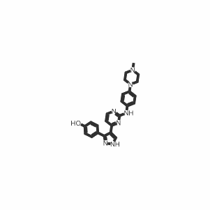 CN1CCN(c2ccc(Nc3nccc(-c4c[nH]nc4-c4ccc(O)cc4)n3)cc2)CC1